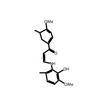 COC1=CC=C(C(=O)/C=C\Nc2c(C)ccc(OC)c2O)CC1C